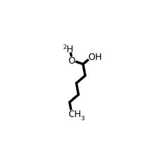 [2H]OC(O)CCCCC